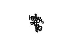 CC1=C(C(=O)OCC2COc3ccccc3O2)CNC(=S)N1